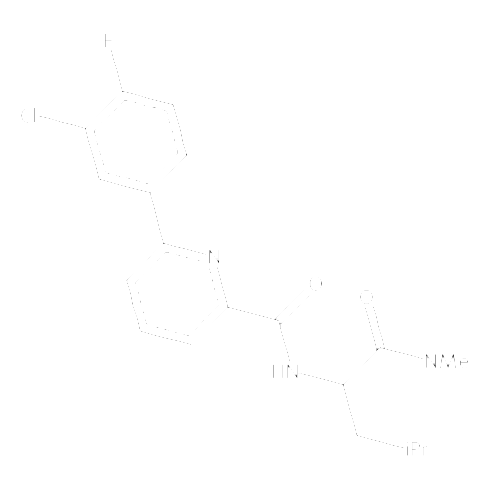 CNC(=O)C(CC(C)C)NC(=O)c1cccc(-c2ccc(F)c(Cl)c2)n1